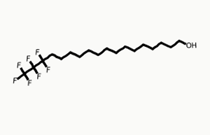 OCCCCCCCCCCCCCCCC(F)(F)C(F)(F)C(F)(F)F